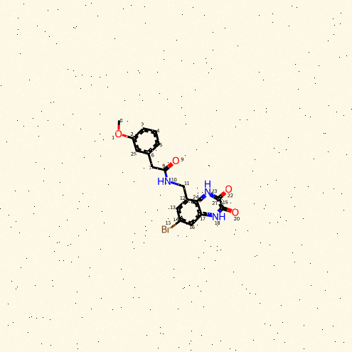 COc1cccc(CC(=O)NCc2cc(Br)cc3[nH]c(=O)c(=O)[nH]c23)c1